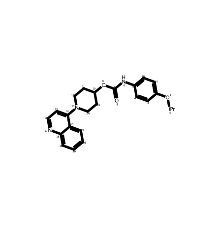 CC(C)Oc1ccc(NC(=O)OC2CCN(c3ccnc4ccccc34)CC2)cc1